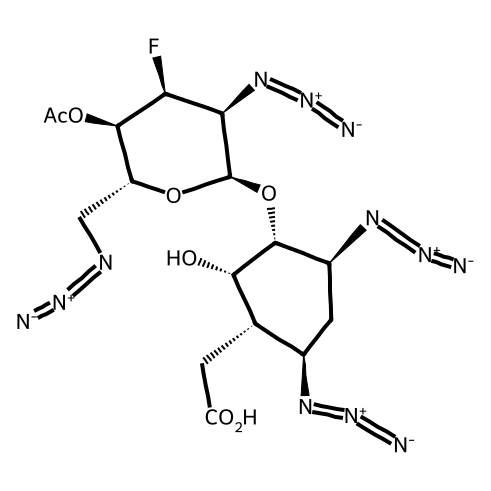 CC(=O)O[C@H]1[C@@H](F)[C@@H](N=[N+]=[N-])[C@@H](O[C@H]2[C@@H](O)[C@@H](CC(=O)O)[C@H](N=[N+]=[N-])C[C@@H]2N=[N+]=[N-])O[C@@H]1CN=[N+]=[N-]